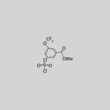 COC(=O)c1cccc(OC(F)(F)F)c1.O=S(=O)(Cl)Cl